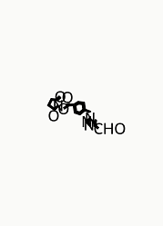 O=Cc1cn(Cc2ccc(C(=O)ON3C(=O)CCC3=O)cc2)nn1